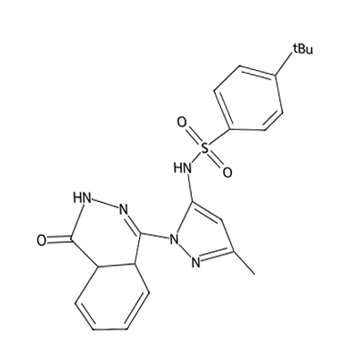 Cc1cc(NS(=O)(=O)c2ccc(C(C)(C)C)cc2)n(C2=NNC(=O)C3C=CC=CC23)n1